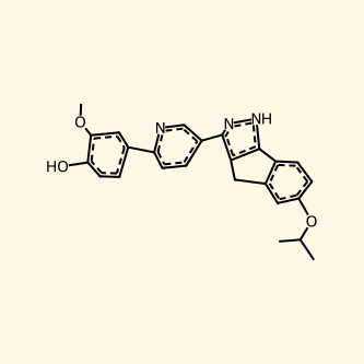 COc1cc(-c2ccc(-c3n[nH]c4c3Cc3cc(OC(C)C)ccc3-4)cn2)ccc1O